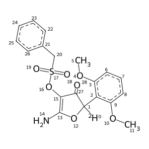 [2H]C1(c2c(OC)cccc2OC)OC(N)=C(OS(=O)(=O)Cc2ccccc2)C1=O